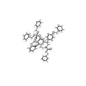 O=C(OCc1ccccc1)N1CCc2c(cc(OP(=O)(OCc3ccccc3)OCc3ccccc3)c(OCc3ccccc3)c2Cl)C(c2ccc(OCc3ccccc3)cc2)C1